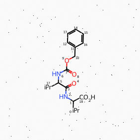 CC(C)C(NC(=O)C(NC(=O)OCc1ccccc1)C(C)C)C(=O)O